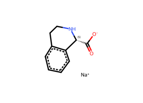 O=C([O-])[C@H]1NCCc2ccccc21.[Na+]